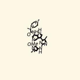 COc1nn(C)cc1Nc1ncc(C)c(-c2c[nH]c3c(NC(=O)[C@@H](C)N4CCN(C)CC4)cncc23)n1